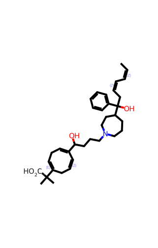 C/C=C\C=C/CC(O)(c1ccccc1)C1CCCN(CCCC(O)C2=CC/C=C(/C(C)(C)C(=O)O)C/C=C\2)CC1